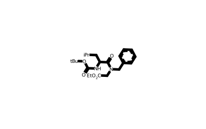 CCOC(=O)CN(Cc1ccccc1)C(=O)C(CC(C)C)NC(=O)OC(C)(C)C